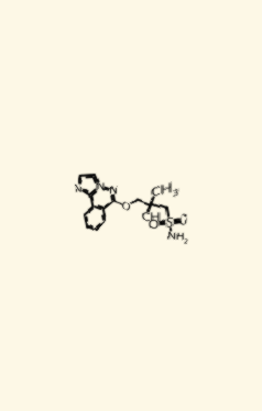 CC(C)(COc1nn2ccnc2c2ccccc12)CS(N)(=O)=O